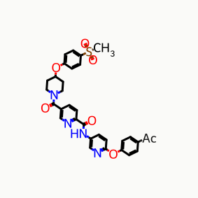 CC(=O)c1ccc(Oc2ccc(NC(=O)c3ccc(C(=O)N4CCC(Oc5ccc(S(C)(=O)=O)cc5)CC4)cn3)cn2)cc1